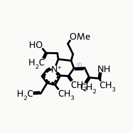 C=Cc1cc[n+]2c(c1C)C(=C)/C(=C\C(=C)C(C)=N)C(CCOC)C2CC(=C)O